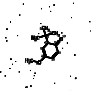 COC1=CC(C(C)(C)C)C(=O)C=C1